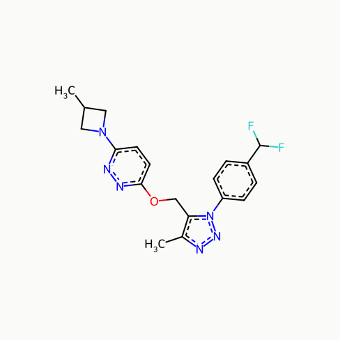 Cc1nnn(-c2ccc(C(F)F)cc2)c1COc1ccc(N2CC(C)C2)nn1